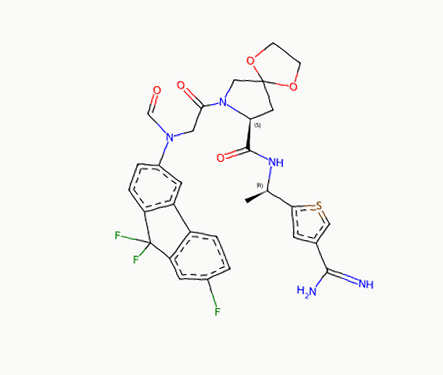 C[C@@H](NC(=O)[C@@H]1CC2(CN1C(=O)CN(C=O)c1ccc3c(c1)-c1ccc(F)cc1C3(F)F)OCCO2)c1cc(C(=N)N)cs1